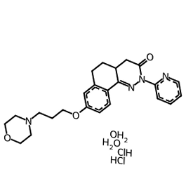 Cl.Cl.O.O.O=C1CC2CCc3cc(OCCCN4CCOCC4)ccc3C2=NN1c1ccccn1